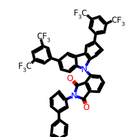 O=C1c2cccc(-n3c4ccc(-c5cc(C(F)(F)F)cc(C(F)(F)F)c5)cc4c4cc(-c5cc(C(F)(F)F)cc(C(F)(F)F)c5)ccc43)c2C(=O)N1c1cccc(-c2ccccc2)c1